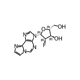 OC[C@H]1O[C@@H](n2cnc3c2ncn2ccnc32)[C@H](F)[C@@H]1O